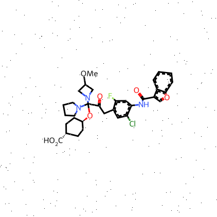 COC1CN(C(O[C@H]2CC[C@H](C(=O)O)CC2)(C(=O)Cc2cc(Cl)c(NC(=O)c3coc4ccccc34)cc2F)N2CCCC2)C1